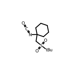 CC(C)(C)S(=O)(=O)CC1(N=C=O)CCCCC1